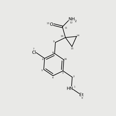 CCNCc1ccc(Cl)c(CC2(C(N)=O)CC2)c1